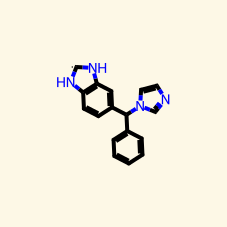 [CH]1Nc2ccc(C(c3ccccc3)n3ccnc3)cc2N1